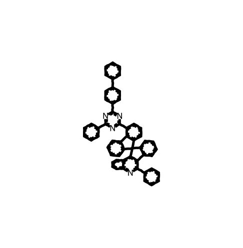 c1ccc(-c2ccc(-c3nc(-c4ccccc4)nc(-c4cccc5c4-c4ccccc4C54c5ccccc5-c5c(-c6ccccc6)nc6ccccc6c54)n3)cc2)cc1